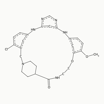 COc1ccc2cc1OCCNC(=O)C1CCN(CC1)Cc1cc(ccc1Cl)Nc1cc(ncn1)N2